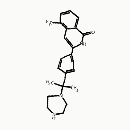 Cc1cccc2c(=O)[nH]c(-c3ccc(C(C)(C)N4CCNCC4)cc3)cc12